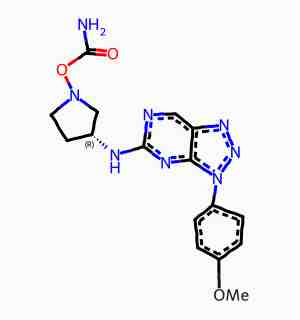 COc1ccc(-n2nnc3cnc(N[C@@H]4CCN(OC(N)=O)C4)nc32)cc1